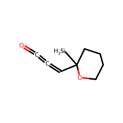 O=C=C=CC1([SiH3])CCCCO1